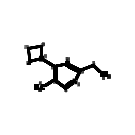 CCc1ncc(C)c(N2CCC2)n1